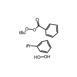 CC(C)(C)OOC(=O)c1ccccc1.CC(C)c1ccccc1.OO